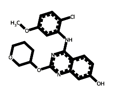 COc1ccc(Cl)c(Nc2nc(OC3CCCOC3)nc3cc(O)ccc23)c1